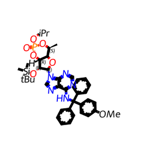 COc1ccc(C(Nc2ncnc3c2ncn3[C@@H]2OC3[C@H](C)OP(=O)(OC(C)C)O[C@H]3[C@H]2O[Si](C)(C)C(C)(C)C)(c2ccccc2)c2ccccc2)cc1